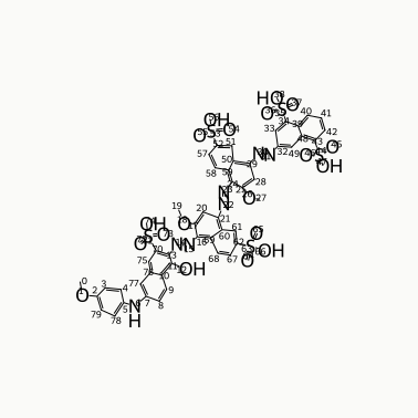 COc1ccc(Nc2ccc3c(O)c(N=Nc4c(OC)cc(N=Nc5c(OC)cc(N=Nc6cc(S(=O)(=O)O)c7cccc(S(=O)(=O)O)c7c6)c6cc(S(=O)(=O)O)ccc56)c5cc(S(=O)(=O)O)ccc45)c(S(=O)(=O)O)cc3c2)cc1